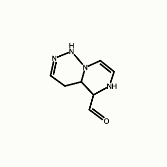 O=CC1NC=CN2NN=CCC12